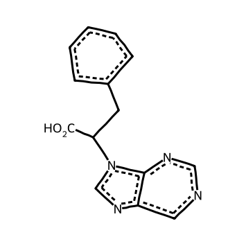 O=C(O)C(Cc1ccccc1)n1cnc2cncnc21